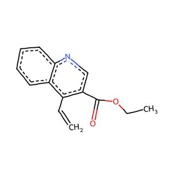 C=Cc1c(C(=O)OCC)cnc2ccccc12